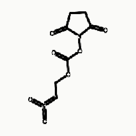 O=C(OCC=S(=O)=O)ON1C(=O)CCC1=O